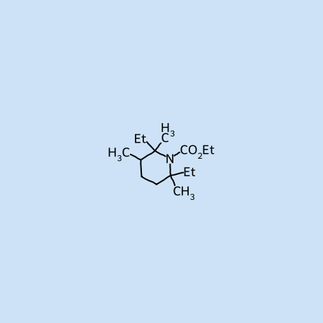 CCOC(=O)N1C(C)(CC)CCC(C)C1(C)CC